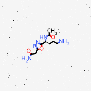 CC(=O)N[C@@H](CCCN)c1nnc(CC(N)=O)o1